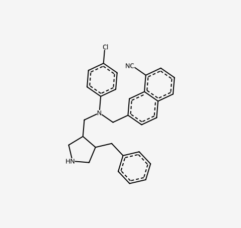 N#Cc1cccc2ccc(CN(CC3CNCC3Cc3ccccc3)c3ccc(Cl)cc3)cc12